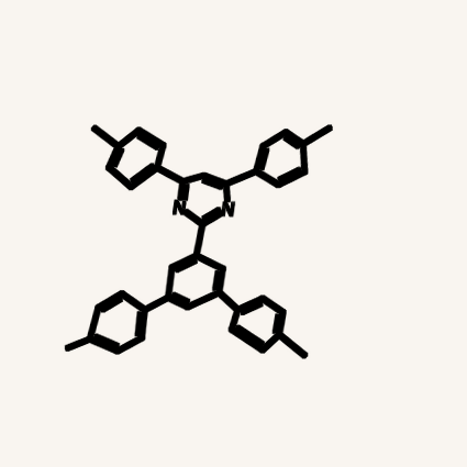 Cc1ccc(-c2cc(-c3ccc(C)cc3)cc(-c3nc(-c4ccc(C)cc4)cc(-c4ccc(C)cc4)n3)c2)cc1